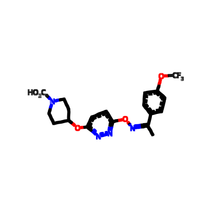 CC(=NOc1ccc(OC2CCN(C(=O)O)CC2)nn1)c1ccc(OC(F)(F)F)cc1